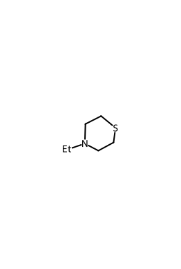 [CH2]CN1CCSCC1